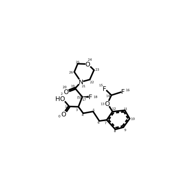 O=C(O)C(CCCc1ccccc1OC(F)F)[C@H](F)C(=O)N1CCOCC1